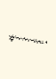 Cc1c(CCCCCCCCCCCCCCCCCC(=O)O)ccc[n+]1C